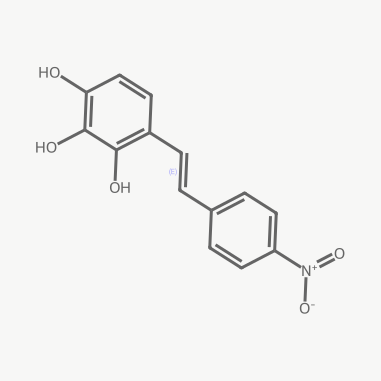 O=[N+]([O-])c1ccc(/C=C/c2ccc(O)c(O)c2O)cc1